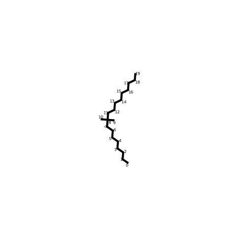 CCCCCCC[CH]C(C)(C)CCCCCCCCC